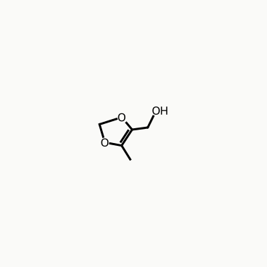 CC1=C(CO)OCO1